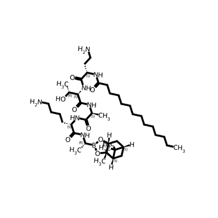 CCCCCCCCCCCCCC(=O)N[C@@H](CCN)C(=O)N[C@H](C(=O)N[C@@H](C)C(=O)N[C@@H](CCCCN)C(=O)N[C@@H](C)B1O[C@@H]2C[C@@H]3C[C@@H](C3(C)C)[C@]2(C)O1)[C@@H](C)O